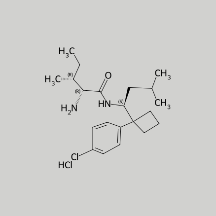 CC[C@@H](C)[C@@H](N)C(=O)N[C@@H](CC(C)C)C1(c2ccc(Cl)cc2)CCC1.Cl